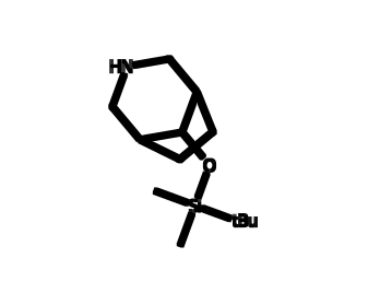 CC(C)(C)[Si](C)(C)OC1C2CCC1CNC2